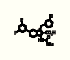 CCCCC(=O)Nc1c(C(=O)O)n(Cc2cccc(Cl)c2)c2cc(-c3cc(F)cc(F)c3)ccc12